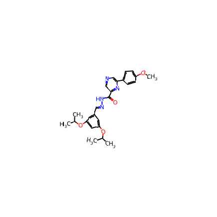 COc1ccc(-c2cncc(C(=O)NN=Cc3cc(OC(C)C)cc(OC(C)C)c3)n2)cc1